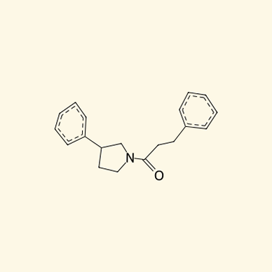 O=C(CCc1ccccc1)N1CCC(c2ccccc2)C1